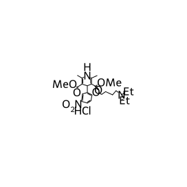 CCN(CC)CCCCOc1ccc([N+](=O)[O-])cc1C1C(C(=O)OC)=C(C)NC(C)=C1C(=O)OC.Cl